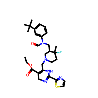 CCOC(=O)C1=C(CN2CCC(C)(F)C(CN(C=O)c3cccc(C(C)(C)C)c3)C2)NC(c2nccs2)=NC1